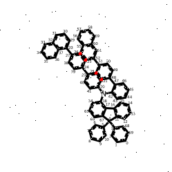 c1ccc(C2(c3ccccc3)c3ccccc3-c3c(N(c4ccc(-c5ccc(-c6cccc7ccccc67)cc5)cc4)c4ccccc4-c4ccc(-c5ccc6ccccc6c5)cc4)cccc32)cc1